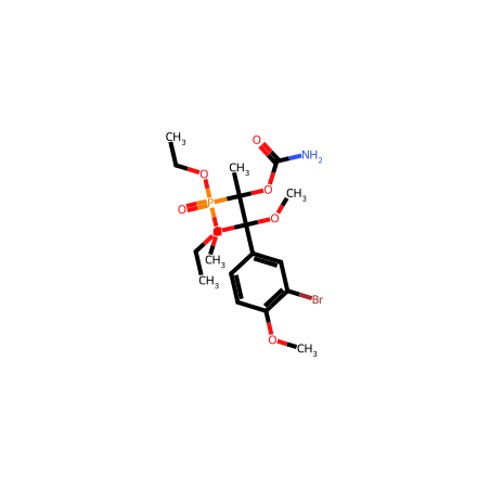 CCOP(=O)(OCC)C(C)(OC(N)=O)C(OC)(OC)c1ccc(OC)c(Br)c1